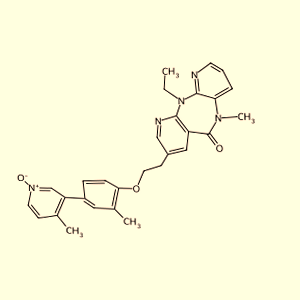 CCN1c2ncc(CCOc3ccc(-c4c[n+]([O-])ccc4C)cc3C)cc2C(=O)N(C)c2cccnc21